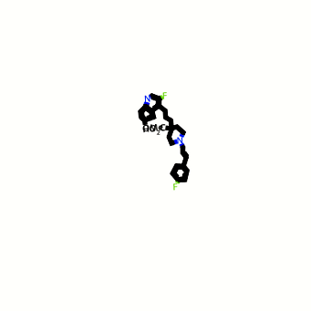 COc1ccc2ncc(F)c(CCCC3(C(=O)O)CCN(C/C=C/c4ccc(F)cc4)CC3)c2c1